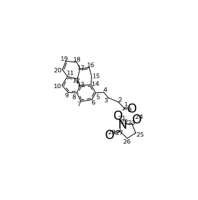 O=C(CCCc1ccc2ccc3c4c2c1CC=C4CC=C3)ON1C(=O)CCC1=O